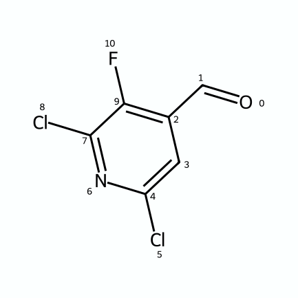 O=Cc1cc(Cl)nc(Cl)c1F